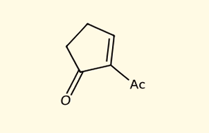 CC(=O)C1=CCCC1=O